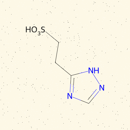 O=S(=O)(O)CCc1ncn[nH]1